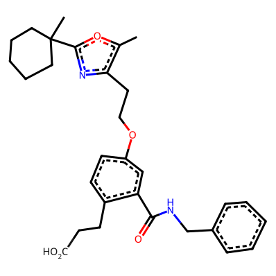 Cc1oc(C2(C)CCCCC2)nc1CCOc1ccc(CCC(=O)O)c(C(=O)NCc2ccccc2)c1